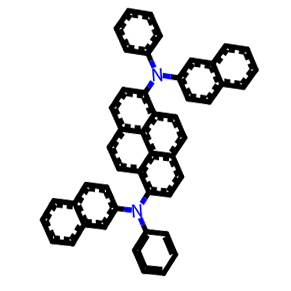 C1=C=C(N(c2ccc3ccccc3c2)c2ccc3ccc4c(N(c5ccccc5)c5ccc6ccccc6c5)ccc5ccc2c3c54)C=CC=1